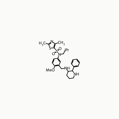 COc1ccc(N(CC(C)C)S(=O)(=O)c2sc(C)nc2C)cc1CNC1CCCNC1c1ccccc1